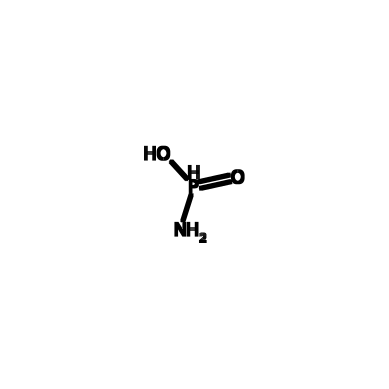 N[PH](=O)O